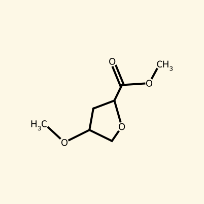 COC(=O)C1CC(OC)CO1